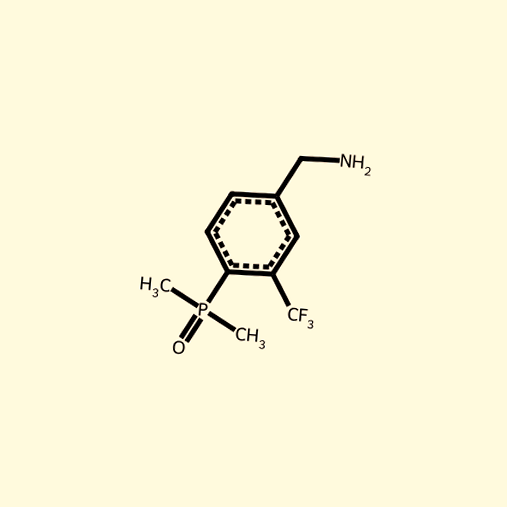 CP(C)(=O)c1ccc(CN)cc1C(F)(F)F